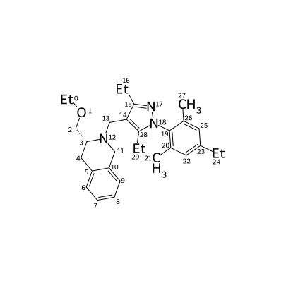 CCOC[C@H]1Cc2ccccc2CN1Cc1c(CC)nn(-c2c(C)cc(CC)cc2C)c1CC